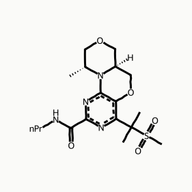 CCCNC(=O)c1nc2c(c(C(C)(C)S(C)(=O)=O)n1)OC[C@@H]1COC[C@@H](C)N21